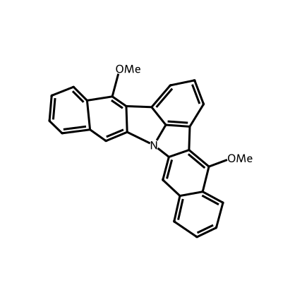 COc1c2ccccc2cc2c1c1cccc3c4c(OC)c5ccccc5cc4n2c13